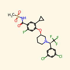 CS(=O)(=O)NC(=O)c1cc(C2CC2)c(O[C@@H]2CCCN([C@H](c3cc(Cl)cc(Cl)c3)C(F)(F)F)C2)cc1F